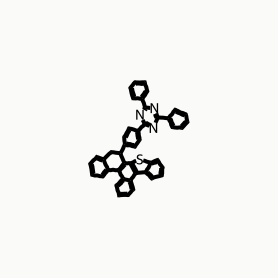 c1ccc(-c2nc(-c3ccccc3)nc(-c3ccc(C4Cc5ccccc5-c5c4c4sc6ccccc6c4c4ccccc54)cc3)n2)cc1